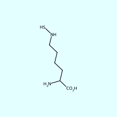 NC(CCCCNS)C(=O)O